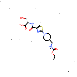 CCOC(=O)NCC1CCN(c2nc(C(=O)N[C@@H](CO)C(=O)O)cs2)CC1